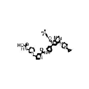 C[Si](C)(C)CCOCn1c(-c2ccc(NC(=O)c3cc(CN4CCCC(NC(=O)O)C4)ccn3)cc2)cc2c(N3CCN(C4CC4)CC3)ncnc21